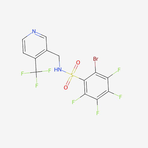 O=S(=O)(NCc1cnccc1C(F)(F)F)c1c(F)c(F)c(F)c(F)c1Br